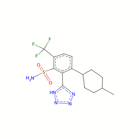 CC1CCC(c2ccc(C(F)(F)F)c(S(N)(=O)=O)c2-c2nnn[nH]2)CC1